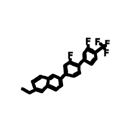 CCc1ccc2cc(-c3ccc(-c4ccc(C(F)(F)F)c(F)c4)c(F)c3)ccc2c1